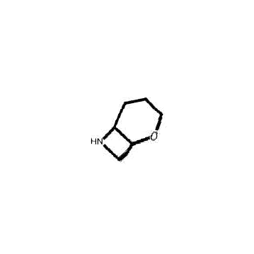 C1COC2CNC2C1